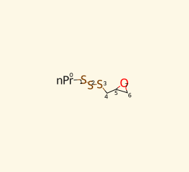 CCCSSSCC1CO1